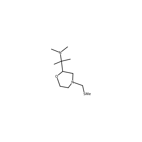 CSCN1CCOC(C(C)(C)N(C)C)C1